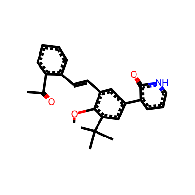 COc1c(/C=C/c2ccccc2C(C)=O)cc(-c2ccc[nH]c2=O)cc1C(C)(C)C